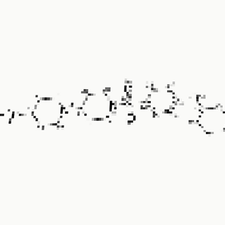 CC1CCN(C2CCN(S(=O)(=O)c3ccc(OC4CCCCC4)cc3)CC2)CC1